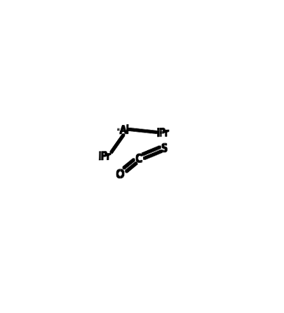 C[CH](C)[Al][CH](C)C.O=C=S